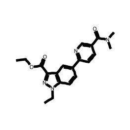 CCOC(=O)c1nn(CC)c2ccc(-c3ccc(C(=O)N(C)C)cn3)cc12